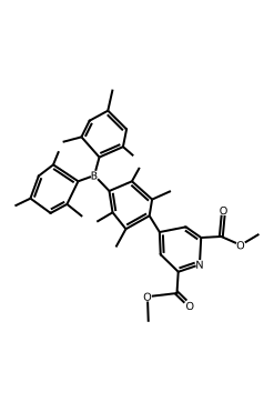 COC(=O)c1cc(-c2c(C)c(C)c(B(c3c(C)cc(C)cc3C)c3c(C)cc(C)cc3C)c(C)c2C)cc(C(=O)OC)n1